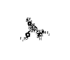 NC(=O)c1n[nH]c(=O)c2sc(N3CCN(S(=O)(=O)c4ccc(OC(F)(F)F)cc4)[C@@H](C(=O)NCc4ccc(OC(F)(F)F)cc4)C3)nc12